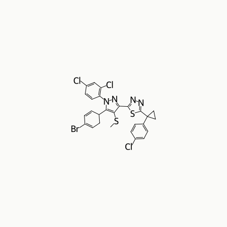 CSc1c(-c2nnc(C3(c4ccc(Cl)cc4)CC3)s2)nn(-c2ccc(Cl)cc2Cl)c1C1C=CC(Br)=CC1